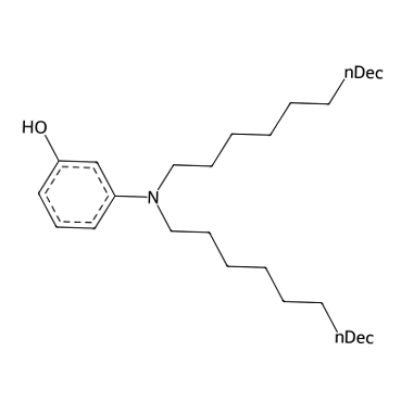 CCCCCCCCCCCCCCCCN(CCCCCCCCCCCCCCCC)c1cccc(O)c1